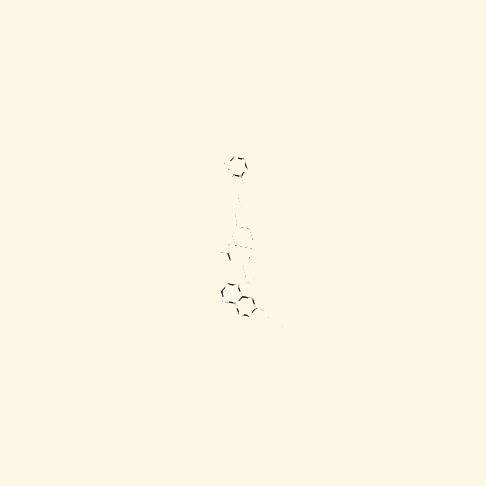 COc1ccc2nccc([C@@H](O)CC[C@@H]3CCN(CCCSc4cccnn4)C[C@@H]3C(=O)O)c2c1